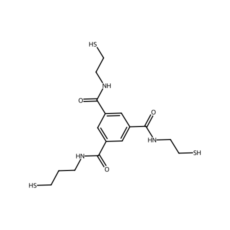 O=C(NCCS)c1cc(C(=O)NCCS)cc(C(=O)NCCCS)c1